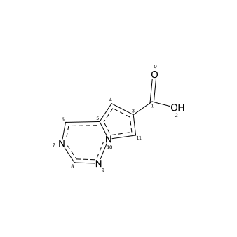 O=C(O)c1cc2cncnn2c1